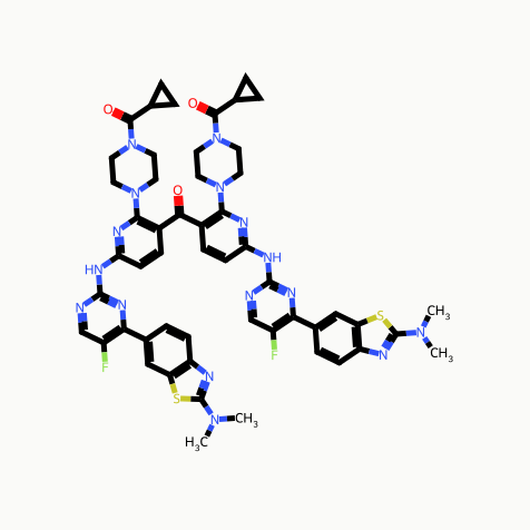 CN(C)c1nc2ccc(-c3nc(Nc4ccc(C(=O)c5ccc(Nc6ncc(F)c(-c7ccc8nc(N(C)C)sc8c7)n6)nc5N5CCN(C(=O)C6CC6)CC5)c(N5CCN(C(=O)C6CC6)CC5)n4)ncc3F)cc2s1